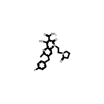 Cc1nc2c(O)c(C(N)=O)c(=O)n(CCN3CCCC3=O)c2cc1Cc1ccc(F)cc1